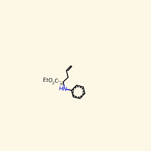 C=CC[C@H](Nc1ccccc1)C(=O)OCC